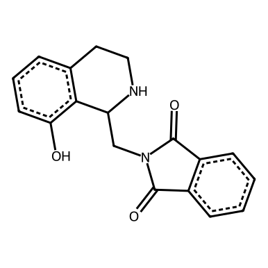 O=C1c2ccccc2C(=O)N1CC1NCCc2cccc(O)c21